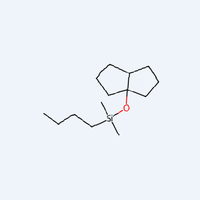 CCCC[Si](C)(C)OC12CCCC1CCC2